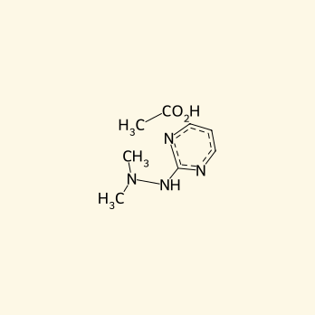 CC(=O)O.CN(C)Nc1ncccn1